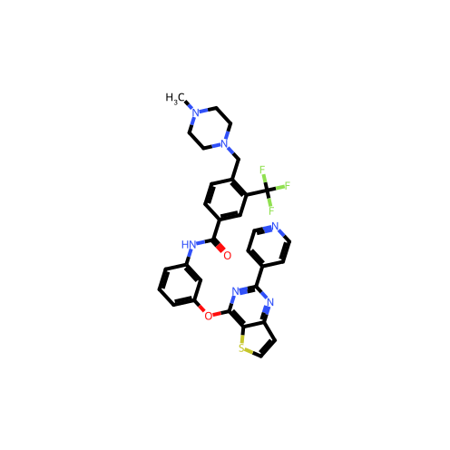 CN1CCN(Cc2ccc(C(=O)Nc3cccc(Oc4nc(-c5ccncc5)nc5ccsc45)c3)cc2C(F)(F)F)CC1